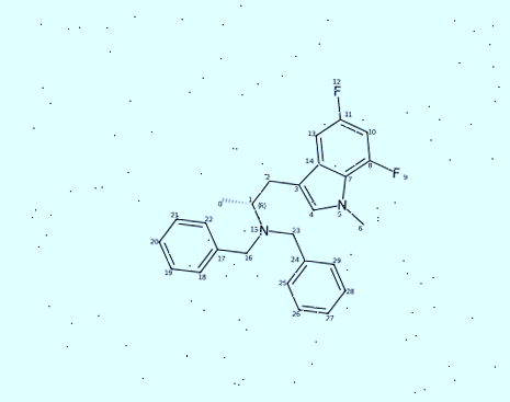 C[C@H](Cc1cn(C)c2c(F)cc(F)cc12)N(Cc1ccccc1)Cc1ccccc1